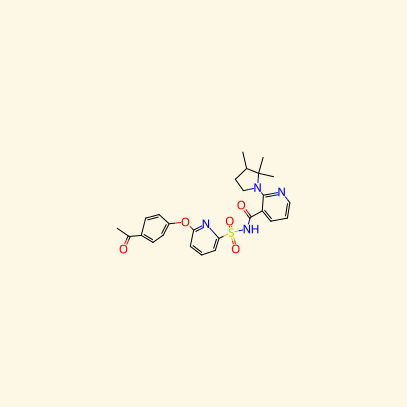 CC(=O)c1ccc(Oc2cccc(S(=O)(=O)NC(=O)c3cccnc3N3CCC(C)C3(C)C)n2)cc1